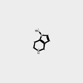 CC(C)(C)n1ccc2c1CCNC2